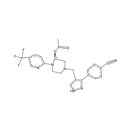 CC(=O)O[C@H]1CN(Cc2c[nH]nc2-c2ccc(C#N)cc2)CCN1c1ccc(C(F)(F)F)cn1